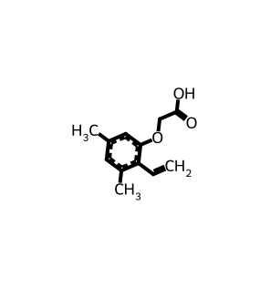 C=Cc1c(C)cc(C)cc1OCC(=O)O